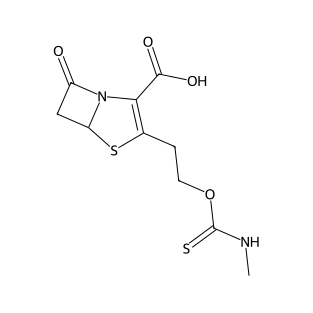 CNC(=S)OCCC1=C(C(=O)O)N2C(=O)CC2S1